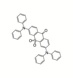 O=C1c2ccc(N(c3ccccc3)c3ccccc3)cc2S(=O)(=O)c2cc(N(c3ccccc3)c3ccccc3)ccc21